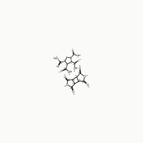 O=C(O)C1CC(C(=O)O)C(C(=O)O)C1C(=O)O.O=C1OC(=O)C2C1C1C(=O)OC(=O)C21